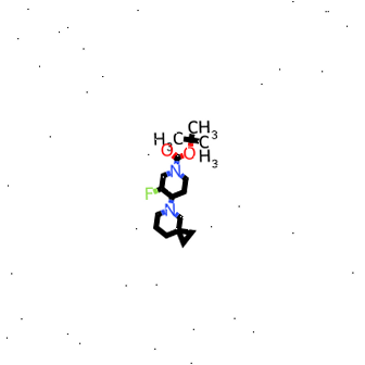 CC(C)(C)OC(=O)N1CCC(N2CCCC3(CC3)C2)C(F)C1